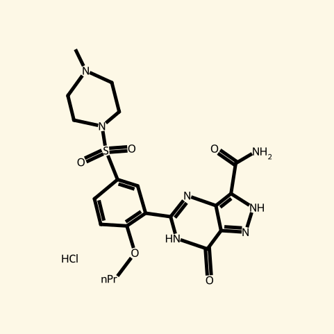 CCCOc1ccc(S(=O)(=O)N2CCN(C)CC2)cc1-c1nc2c(C(N)=O)[nH]nc2c(=O)[nH]1.Cl